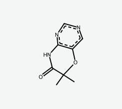 CC1(C)Oc2cncnc2NC1=O